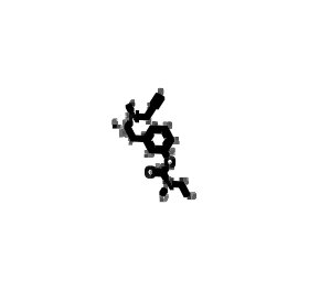 C#CCN(C)[C@@H](C)Cc1cccc(OC(=O)N(C)CC)c1